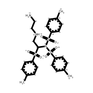 Cc1ccc(S(=O)(=O)C(CNCCN)N(S(=O)(=O)c2ccc(C)cc2)S(=O)(=O)c2ccc(C)cc2)cc1